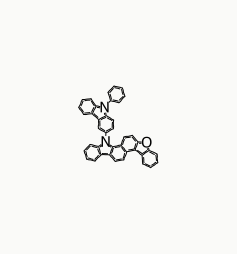 c1ccc(-n2c3ccccc3c3cc(-n4c5ccccc5c5ccc6c(ccc7oc8ccccc8c76)c54)ccc32)cc1